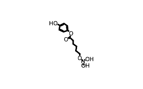 O=C(CCCCCON(O)O)Oc1ccc(O)cc1